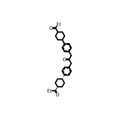 CCC(=O)C1CCC(c2ccc(CC(=O)Cc3ccc([C@H]4CC[C@H](C(=O)CC)CC4)cc3)cc2)CC1